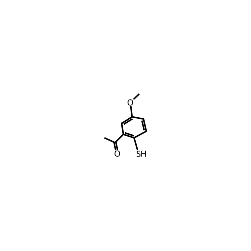 COc1ccc(S)c(C(C)=O)c1